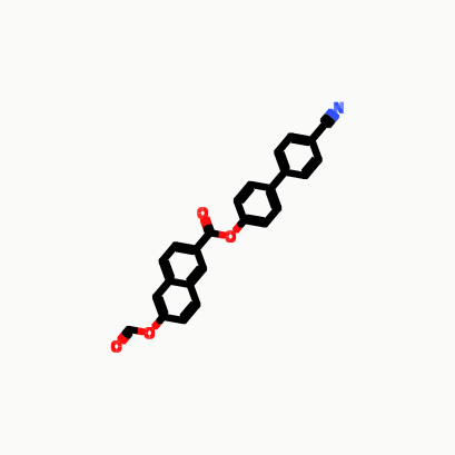 N#Cc1ccc(-c2ccc(OC(=O)c3ccc4cc(OC=O)ccc4c3)cc2)cc1